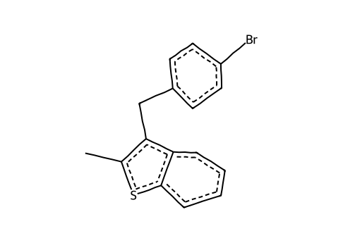 Cc1sc2ccccc2c1Cc1ccc(Br)cc1